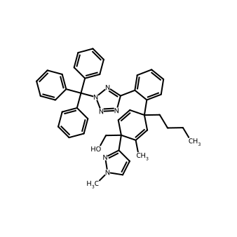 CCCCC1(c2ccccc2-c2nnn(C(c3ccccc3)(c3ccccc3)c3ccccc3)n2)C=CC(CO)(c2ccn(C)n2)C(C)=C1